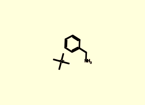 C[N+](C)(C)C.NCc1ccccc1